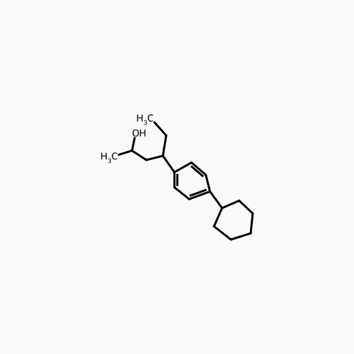 CCC(CC(C)O)c1ccc(C2CCCCC2)cc1